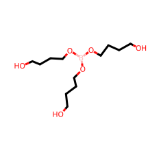 OCCCCOB(OCCCCO)OCCCCO